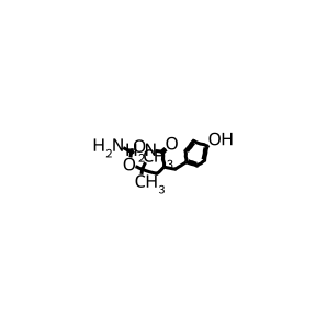 CC(C)(CC(Cc1ccc(O)cc1)C(N)=O)OC(N)=O